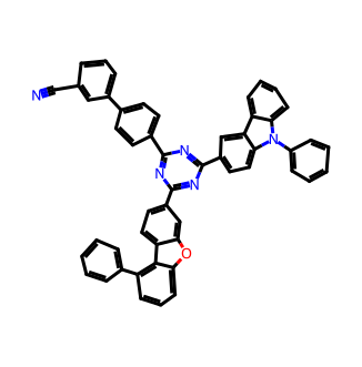 N#Cc1cccc(-c2ccc(-c3nc(-c4ccc5c(c4)oc4cccc(-c6ccccc6)c45)nc(-c4ccc5c(c4)c4ccccc4n5-c4ccccc4)n3)cc2)c1